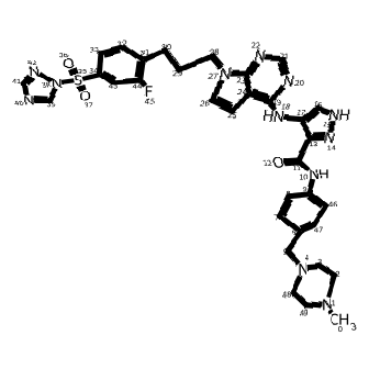 CN1CCN(Cc2ccc(NC(=O)c3n[nH]cc3Nc3ncnc4c3ccn4CCCc3ccc(S(=O)(=O)n4cncn4)cc3F)cc2)CC1